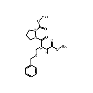 CC(C)(C)OC(=O)N[C@@H](CSCc1ccccc1)C(=O)N1CCC[C@H]1C(=O)OC(C)(C)C